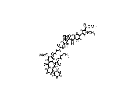 C=CCOC(=O)N1c2cc(OCCCC(=O)Nc3cn(C)c(C(=O)Nc4ccc(-c5cc(C(=O)OC)n(C)c5)cc4)n3)c(OC)cc2C(=O)N2CCCCC2C1OC1CCCCO1